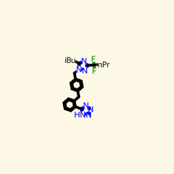 CCCC(F)(F)c1nc(C(C)CC)n(Cc2ccc(Cc3ccccc3-c3nnn[nH]3)cc2)n1